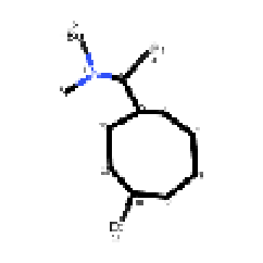 CCCCN(C)C(C(C)C)C1CCCCC(CC)CC1